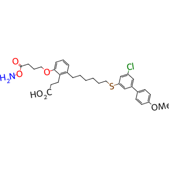 COc1ccc(-c2cc(Cl)cc(SCCCCCCc3cccc(OCCCC(=O)ON)c3CCC(=O)O)c2)cc1